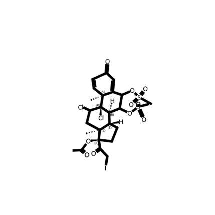 CC(=O)O[C@]1(C(=O)CI)CC[C@H]2[C@@H]3C(OS(C)(=O)=O)C(OS(C)(=O)=O)C4=CC(=O)C=C[C@]4(C)[C@@]3(Cl)C(Cl)C[C@@]21C